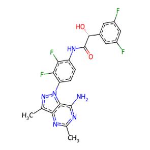 Cc1nc(N)c2c(n1)c(C)nn2-c1ccc(NC(=O)[C@H](O)c2cc(F)cc(F)c2)c(F)c1F